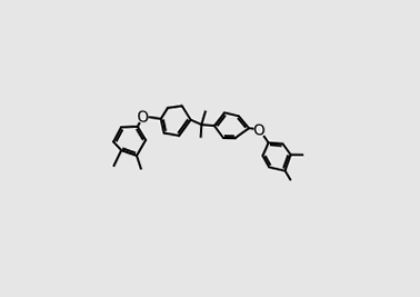 Cc1ccc(OC2=CC=C(C(C)(C)c3ccc(Oc4ccc(C)c(C)c4)cc3)CC2)cc1C